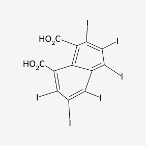 O=C(O)c1c(I)c(I)c(I)c2c(I)c(I)c(I)c(C(=O)O)c12